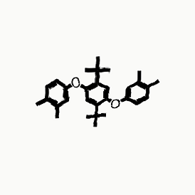 Cc1ccc(Oc2cc(C(C)(C)C)c(Oc3ccc(C)c(C)c3)cc2C(C)(C)C)cc1C